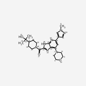 Cn1cc(-c2cc(N3CCOCC3)c3nc(C(=O)N4CCC(C(C)(C)O)CC4)[nH]c3n2)cn1